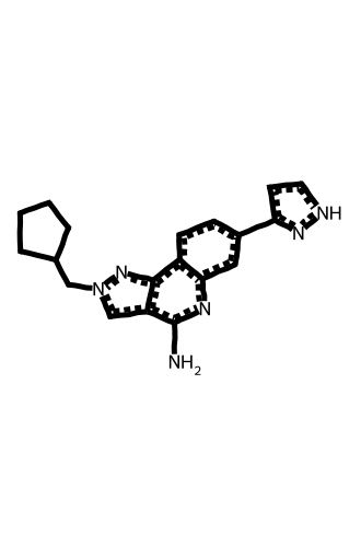 Nc1nc2cc(-c3cc[nH]n3)ccc2c2nn(CC3CCCC3)cc12